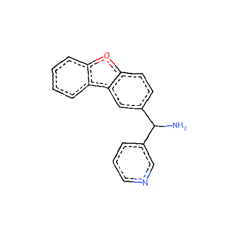 NC(c1cccnc1)c1ccc2oc3ccccc3c2c1